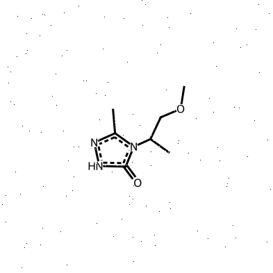 COCC(C)n1c(C)n[nH]c1=O